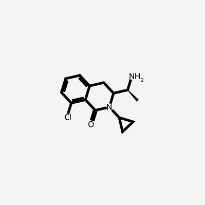 C[C@H](N)C1Cc2cccc(Cl)c2C(=O)N1C1CC1